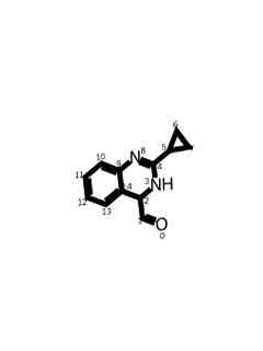 O=CC1NC(C2CC2)=Nc2ccccc21